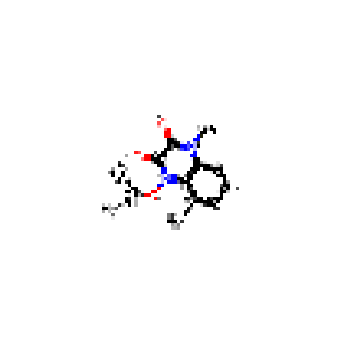 CC(C)n1c(=O)c(=O)n(O[SiH](C)C)c2c(C(C)(C)C)cccc21